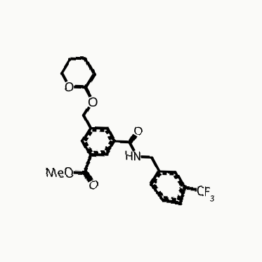 COC(=O)c1cc(COC2CCCCO2)cc(C(=O)NCc2cccc(C(F)(F)F)c2)c1